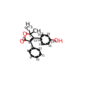 CC1(C)OC(=O)C(c2ccccc2)=C1c1ccc(O)cc1